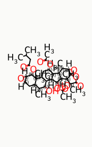 CC(=O)O[C@H]1[C@@H]2[C@H]([C@H](C)[C@H]3O[C@]34OC(=O)[C@@](C)(O)[C@]24C)[C@@]2(C)[C@@H](OC(C)=O)CC3C([C@@H](O)[C@@H](C)[C@H]4C[C@@H]5O[C@@H]5[C@H](OC(=O)CC(C)C)[C@]34C)[C@H]12